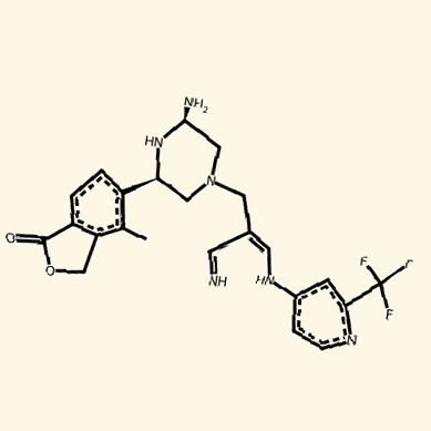 Cc1c([C@@H]2CN(C/C(C=N)=C/Nc3ccnc(C(F)(F)F)c3)C[C@H](N)N2)ccc2c1COC2=O